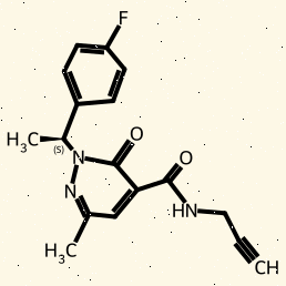 C#CCNC(=O)c1cc(C)nn([C@@H](C)c2ccc(F)cc2)c1=O